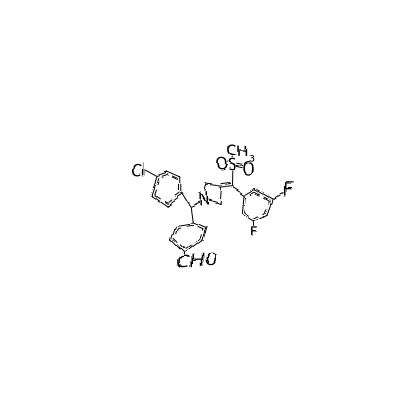 CS(=O)(=O)C(=C1CN(C(c2ccc(Cl)cc2)c2ccc(C=O)cc2)C1)c1cc(F)cc(F)c1